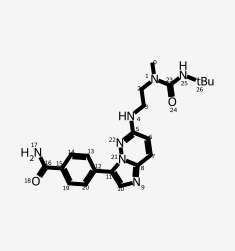 CN(CCNc1ccc2ncc(-c3ccc(C(N)=O)cc3)n2n1)C(=O)NC(C)(C)C